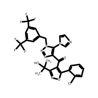 CC(C)(O)c1noc(-c2ccccc2Cl)c1C(=O)c1nnn(Cc2cc(C(F)(F)F)cc(C(F)(F)F)c2)c1-n1ccnc1